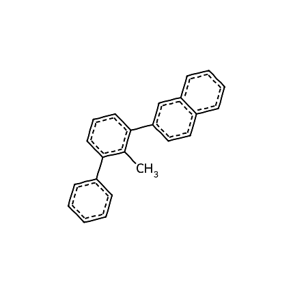 Cc1c(-c2ccccc2)cccc1-c1ccc2ccccc2c1